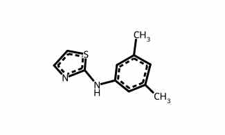 Cc1cc(C)cc(Nc2nccs2)c1